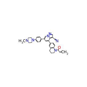 C=CC(=O)N1CCCc2cc(-c3cc(-c4ccc(N5CCN(C)CC5)cc4)cn4ncc(C#N)c34)ccc21